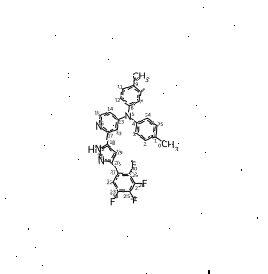 Cc1ccc(N(c2ccc(C)cc2)c2ccnc(-c3cc(-c4cc(F)c(F)c(F)c4F)n[nH]3)c2)cc1